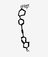 CCCCCCCC1CCC(c2ccc(C#Cc3ccc4cc(CC)ccc4c3)cc2)CC1